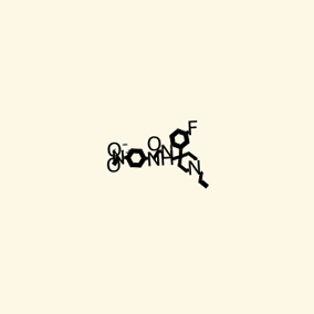 C=CCN1CCC2(CC1)CN(C(=O)Nc1ccc([N+](=O)[O-])cc1)c1ccc(F)cc12